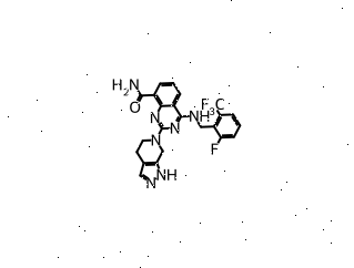 NC(=O)c1cccc2c(NCc3c(F)cccc3C(F)(F)F)nc(N3CCc4cn[nH]c4C3)nc12